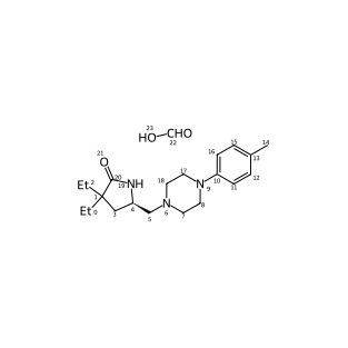 CCC1(CC)C[C@H](CN2CCN(c3ccc(C)cc3)CC2)NC1=O.O=CO